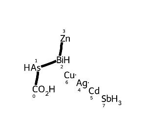 O=C(O)[AsH][BiH][Zn].[Ag].[Cd].[Cu].[SbH3]